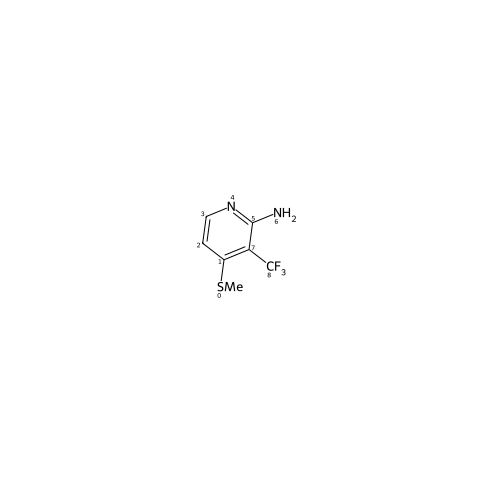 CSc1ccnc(N)c1C(F)(F)F